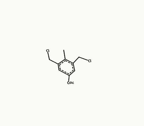 CC(=O)Oc1cc(CCl)c(C)c(CCl)c1